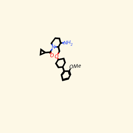 COc1ccccc1C1CCC(OCC2C(N)CCCN2C(=O)C2CC2)CC1